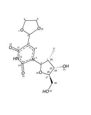 C[C@H]1C(n2cc(C3OCCO3)c(=O)[nH]c2=O)O[C@H](CO)[C@H]1O